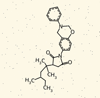 CCC(C)CC(C)(C)C1CC(=O)N(c2ccc3c(c2)CN(c2ccccc2)CO3)C1=O